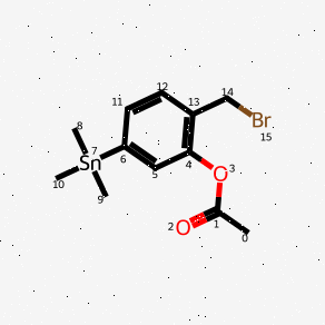 CC(=O)Oc1c[c]([Sn]([CH3])([CH3])[CH3])ccc1CBr